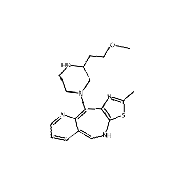 COCCC1CN(C2=c3ncccc3=CNc3sc(C)nc32)CCN1